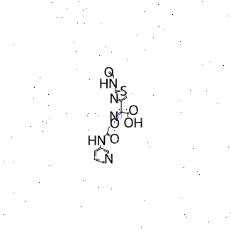 O=CNc1nc(/C(=N/OCC(=O)Nc2cccnc2)C(=O)O)cs1